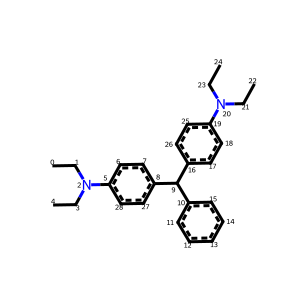 CCN(CC)c1ccc(C(c2ccccc2)c2ccc(N(CC)CC)cc2)cc1